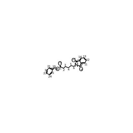 O=C(CCCCCN1C(=O)c2ccccc2C1=O)OCc1ccccc1